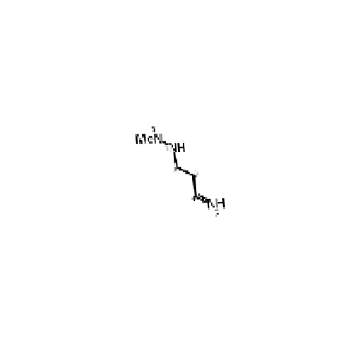 CNNCCC=N